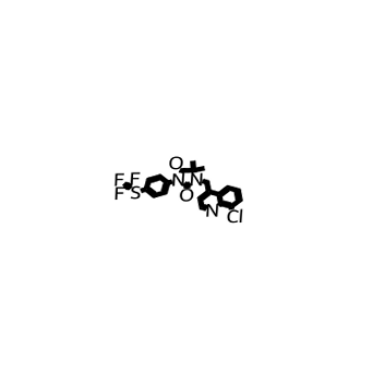 CC1(C)C(=O)N(c2ccc(SC(F)(F)F)cc2)C(=O)N1Cc1ccnc2c(Cl)cccc12